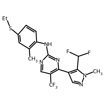 CCSc1ccc(Nc2ncc(C(F)(F)F)c(-c3cnn(C)c3C(F)F)n2)c(C)c1